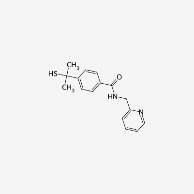 CC(C)(S)c1ccc(C(=O)NCc2ccccn2)cc1